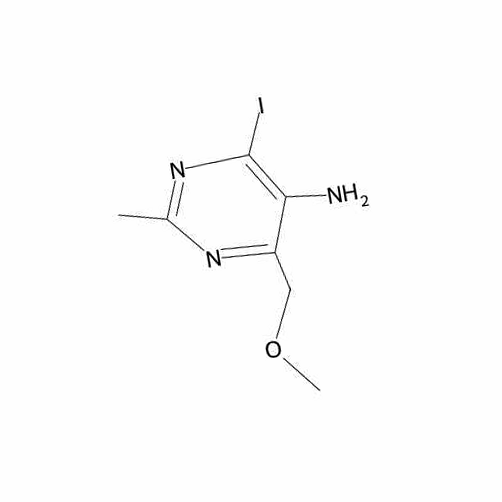 COCc1nc(C)nc(I)c1N